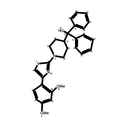 COc1ccc(-c2csc(N3CCC(C(O)(c4ccccc4)c4ccccc4)CC3)n2)c(OC)c1